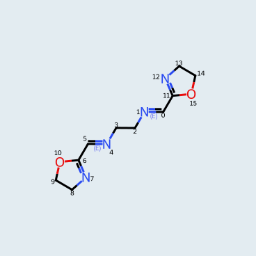 C(=N\CC/N=C/C1=NCCO1)/C1=NCCO1